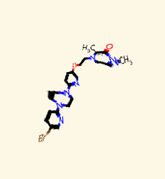 C[C@@H]1C(=O)N(C)CCN1CCOc1ccc(N2CCN(c3ccc(Br)cn3)CC2)nc1